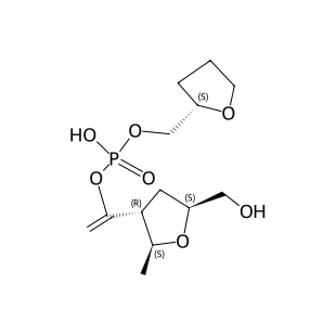 C=C(OP(=O)(O)OC[C@@H]1CCCO1)[C@@H]1C[C@@H](CO)O[C@H]1C